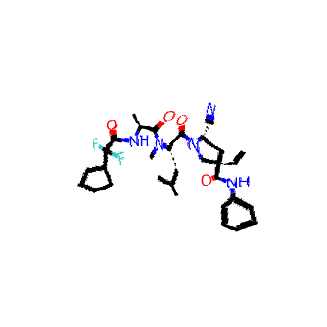 C=C[C@]1(C(=O)Nc2ccccc2)C[C@@H](C#N)N(C(=O)[C@H](CC(C)C)N(C)C(=O)[C@H](C)NC(=O)C(F)(F)C2CCCC2)C1